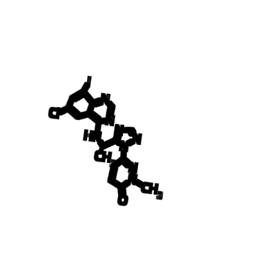 C[C@H](Nc1ncnc2c(I)cc(Cl)cc12)c1ncnn1-c1ccc(=O)n(C)n1